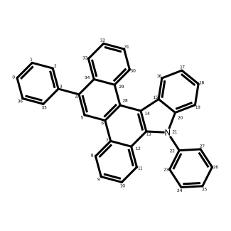 c1ccc(-c2cc3c4ccccc4c4c(c5ccccc5n4-c4ccccc4)c3c3ccccc23)cc1